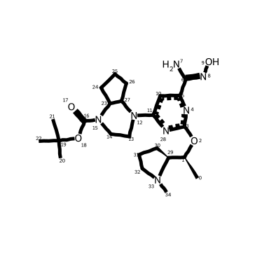 C[C@H](Oc1nc(/C(N)=N/O)cc(N2CCN(C(=O)OC(C)(C)C)C3CCCC32)n1)[C@@H]1CCCN1C